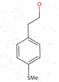 CSc1ccc(CC[O])cc1